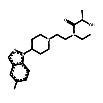 CCN(CCN1CCC(n2ncc3cc(F)ccc32)CC1)C(=O)[C@@H](C)O